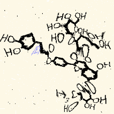 CC1OC(Oc2cc(O)c3c(=O)c(O[C@@H]4OC(CO)[C@@H](O)[C@H](O)C4O[C@@H]4OC(CO)[C@@H](O)[C@H](O)C4O)c(-c4ccc(OC(=O)/C=C/c5ccc(O)c(O)c5)cc4)oc3c2)C(O)C(O)C1O